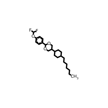 CCCCCCCC1CCC(C2COC(c3ccc(OC(F)F)cc3)OC2)CC1